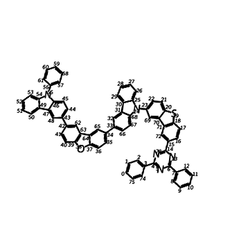 c1ccc(-c2nc(-c3ccccc3)nc(-c3ccc4sc5ccc(-n6c7ccccc7c7cc(-c8ccc9oc%10ccc(-c%11ccc%12c(c%11)c%11ccccc%11n%12-c%11ccccc%11)cc%10c9c8)ccc76)cc5c4c3)n2)cc1